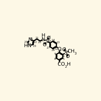 CS(=O)(=O)c1cc(C(=O)O)ccc1Oc1ccc(S(=O)(=O)NCCc2c[nH]cn2)cc1